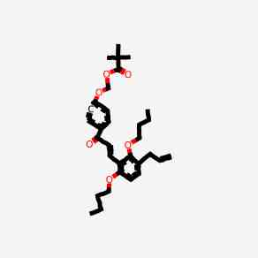 C=CCc1ccc(OCCCC)c(C=CC(=O)c2ccc(OCOC(=O)C(C)(C)C)cc2)c1OCCCC